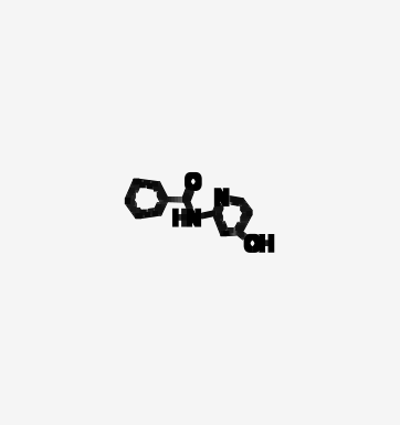 O=C(Nc1cc(O)ccn1)c1ccccc1